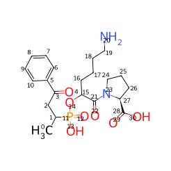 CC(CC(=O)c1ccccc1)P(=O)(O)OC(CCCCN)C(=O)N1CCC[C@H]1C(=O)O